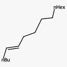 [CH2]CCCC=CCCCCCCCCC[CH2]